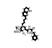 CC(=O)O.COC(C)CN(CCCCc1ccc2c(n1)NCCC2)CCC(NC(=O)OCc1ccccc1)C(=O)O